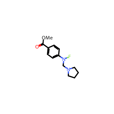 COC(=O)c1ccc(N(F)CN2CCCC2)cc1